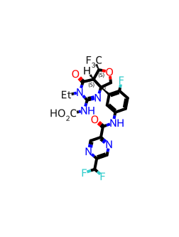 CCN1C(=O)[C@@H]2[C@@H](C(F)(F)F)OC[C@]2(c2cc(NC(=O)c3cnc(C(F)F)cn3)ccc2F)N=C1NC(=O)O